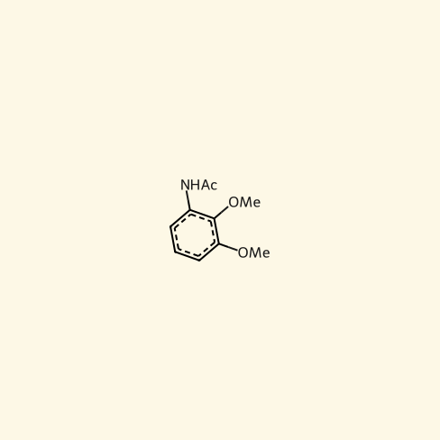 COc1cccc(NC(C)=O)c1OC